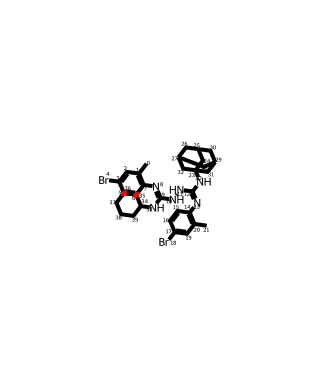 Cc1cc(Br)ccc1N=C(NNC(=Nc1ccc(Br)cc1C)NC12CC3CC(CC(C3)C1)C2)NC1CCCCC1